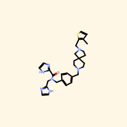 Cc1ccsc1CN1CCC2(CCN(Cc3ccc(CN(Cc4ncc[nH]4)C(=O)c4ncc[nH]4)cc3)CC2)C1